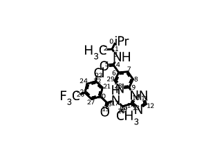 CC(C)C(C)NC(=O)c1ccc(-n2ncnc2[C@H](C)NC(=O)c2cc(Cl)cc(C(F)(F)F)c2)nc1